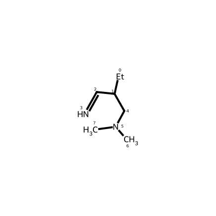 CCC(C=N)CN(C)C